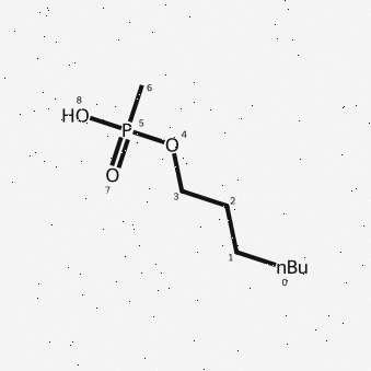 CCCCCCCOP(C)(=O)O